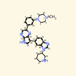 CN1CCN(c2cccc(-c3cnc4[nH]cc(-c5ccc6ncn(C7CCCNC7)c6c5)c4n3)c2)CC1